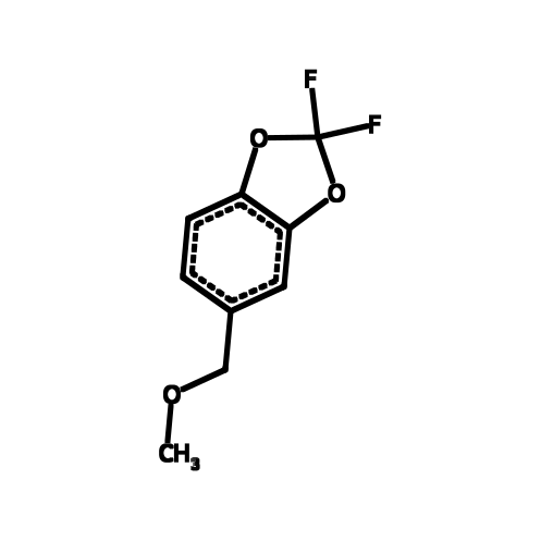 COCc1ccc2c(c1)OC(F)(F)O2